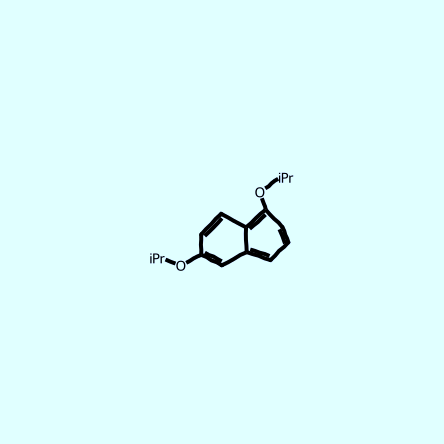 CC(C)Oc1ccc2c(OC(C)C)cccc2c1